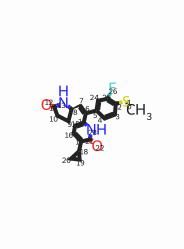 CSc1ccc(C(=C[C@H]2CCC(=O)N2)c2ccc(C3CC3)c(=O)[nH]2)cc1F